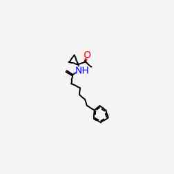 C=C(CCCCCc1ccccc1)NC1(C(C)=O)CC1